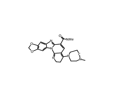 CNC(=O)c1cc2c(n3c1nc1cc4c(cc13)OCO4)=NCCC=2N1CCCN(C)CC1